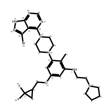 Cc1c(NCCN2CCCC2)cc(OCC2CC2(F)F)cc1N1CCN(c2ncnc3[nH]nc(Br)c23)CC1